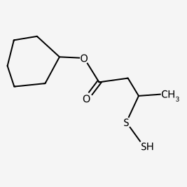 CC(CC(=O)OC1CCCCC1)SS